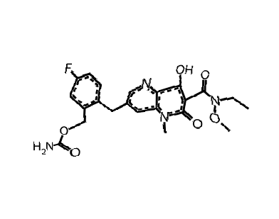 CCN(OC)C(=O)c1c(O)c2ncc(Cc3ccc(F)cc3COC(N)=O)cc2n(C)c1=O